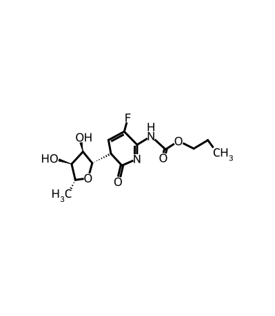 CCCOC(=O)NC1=NC(=O)C([C@@H]2O[C@H](C)[C@@H](O)[C@H]2O)C=C1F